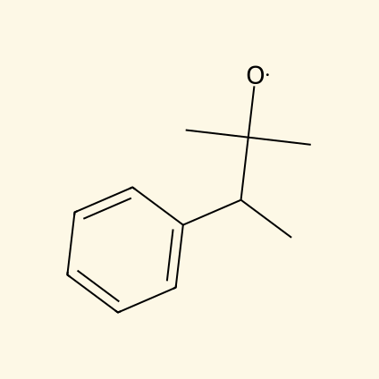 CC(c1ccccc1)C(C)(C)[O]